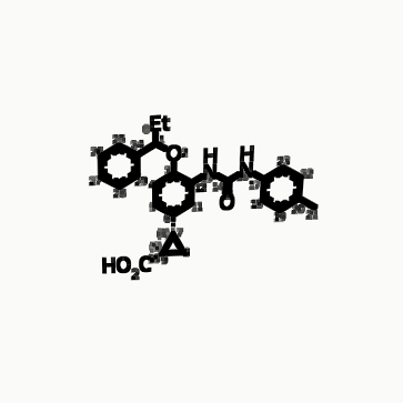 CCC(Oc1ccc([C@@H]2C[C@@H]2C(=O)O)cc1NC(=O)Nc1ccc(C)cc1)c1ccccc1